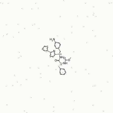 COC(=O)N[C@H](Cc1ccccc1)C(=O)N[C@H](Cc1ccc(N)cc1)c1csc(-c2cccs2)n1